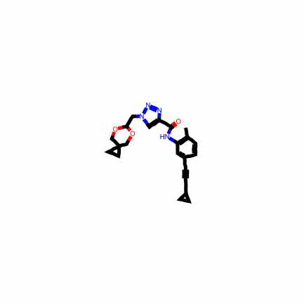 Cc1ccc(C#CC2CC2)cc1NC(=O)c1cn(CC2OCC3(CC3)CO2)nn1